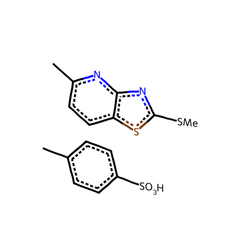 CSc1nc2nc(C)ccc2s1.Cc1ccc(S(=O)(=O)O)cc1